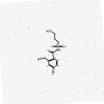 CC(=O)OCCCS(=O)(=O)NC(=O)c1ccc(Br)cc1CC(C)C